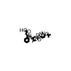 CC(C)Oc1ccc(S(=O)(=O)N2C[C@@H](C)[C@@H](n3nc(CC(=O)O)c4ccccc43)C2)nn1